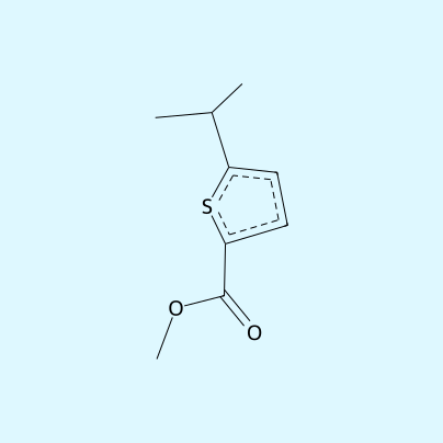 COC(=O)c1ccc(C(C)C)s1